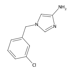 Nc1cn(Cc2cccc(Cl)c2)cn1